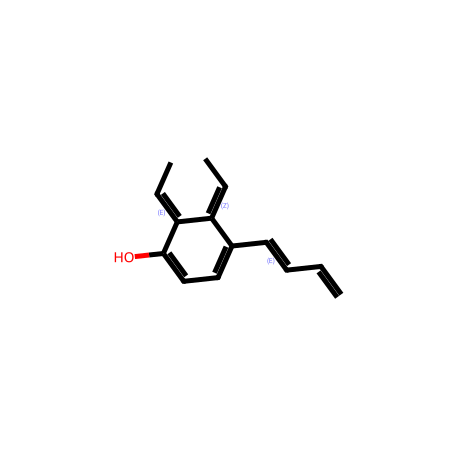 C=C/C=C/c1ccc(O)c(=C/C)/c1=C\C